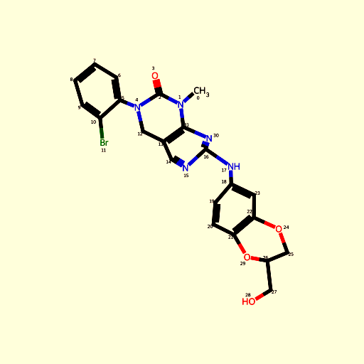 CN1C(=O)N(c2ccccc2Br)Cc2cnc(Nc3ccc4c(c3)OCC(CO)O4)nc21